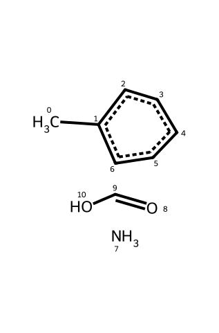 Cc1ccccc1.N.O=CO